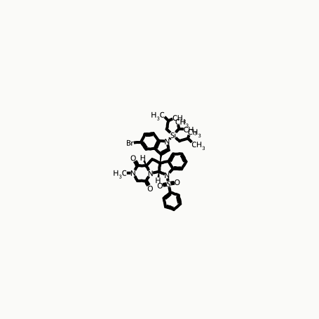 CC(C)C[Si](CC(C)C)(C(C)C)n1cc([C@]23C[C@H]4C(=O)N(C)CC(=O)N4[C@H]2N(S(=O)(=O)c2ccccc2)c2ccccc23)c2cc(Br)ccc21